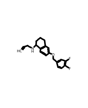 C#CCNC1CCCc2cc(OCc3ccc(F)c(F)c3)ccc21